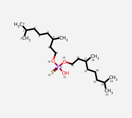 CC(C)CCCC(C)CCOP(O)(=S)OCCC(C)CCCC(C)C